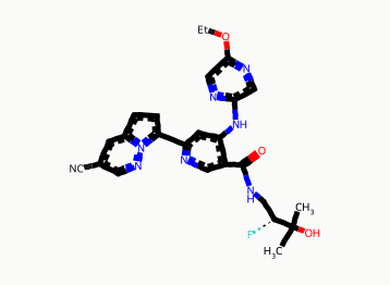 CCOc1cnc(Nc2cc(-c3ccc4cc(C#N)cnn34)ncc2C(=O)NC[C@@H](F)C(C)(C)O)cn1